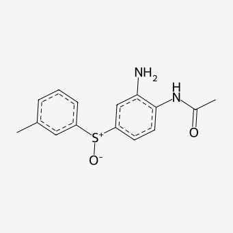 CC(=O)Nc1ccc([S+]([O-])c2cccc(C)c2)cc1N